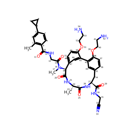 Cc1cc(C2CC2)ccc1C(=O)NCC(=O)N(C)[C@@H]1C(=O)N[C@@H](C)C(=O)N[C@H](C(=O)NCC#N)Cc2ccc(OCCN)c(c2)-c2cc1ccc2OCCN